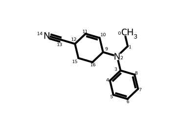 CCN(c1ccccc1)C1C=CC(C#N)CC1